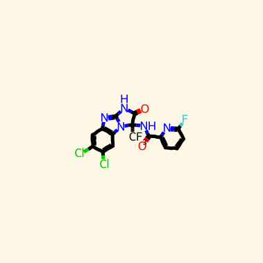 O=C(NC1(C(F)(F)F)C(=O)Nc2nc3cc(Cl)c(Cl)cc3n21)c1cccc(F)n1